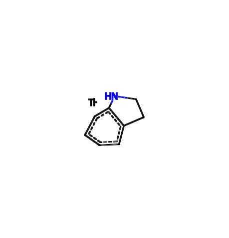 [Tl].c1ccc2c(c1)CCN2